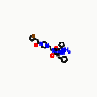 NC1(C(=O)N[C@H](Cc2ccccc2)C(=O)NCCN2CCN(C(=O)Cc3cccs3)CC2)CCCC1